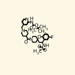 CC(C)(C)OC(=O)Nc1cc(CN2CCC(C(=O)N3CCC4(CC3)CC(NS(C)(=O)=O)c3cc(F)ccc3O4)CC2)ccn1